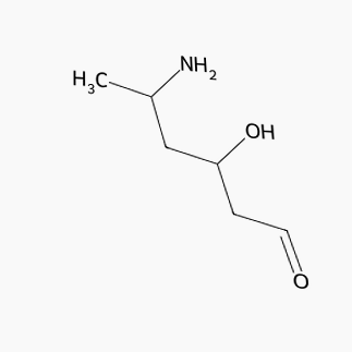 CC(N)CC(O)CC=O